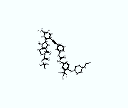 CCCN1CCN(Cc2ccc(NC(=O)Cc3cccc(C#Cc4cnc(N)nc4C4CC5=C(CCN(C(=O)OC(C)(C)C)C5=O)N4C)c3)cc2C(F)(F)F)CC1